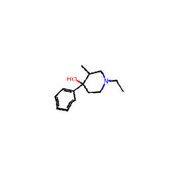 CCN1CCC(O)(c2ccccc2)C(C)C1